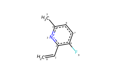 C=Cc1nc(C)ccc1F